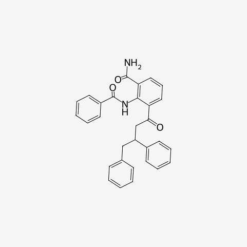 NC(=O)c1cccc(C(=O)CC(Cc2ccccc2)c2ccccc2)c1NC(=O)c1ccccc1